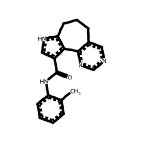 Cc1ccccc1NC(=O)c1c[nH]c2c1-c1ncncc1CCC2